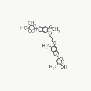 COc1cc2c(cc1OCCCOc1cc3c(cc1N)CN(C(=O)C[C@H](C)C(=O)O)C3)CN(C(=O)C[C@H](C)C(=O)O)C2